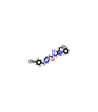 CC(C)Cc1cc(CNC(=O)CN2CCN(Cc3ccc(C(C)(C)C)cc3)CC2)nn1-c1ccccc1